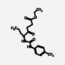 CCCN(NC(=O)Nc1ccc(C)cc1)C(=O)CCC(=O)OCC